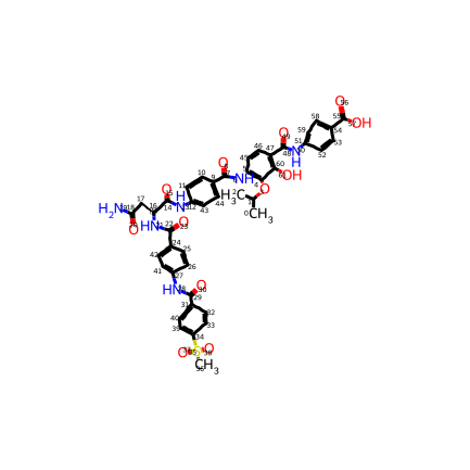 CC(C)Oc1c(NC(=O)c2ccc(NC(=O)[C@H](CC(N)=O)NC(=O)c3ccc(NC(=O)c4ccc(S(C)(=O)=O)cc4)cc3)cc2)ccc(C(=O)Nc2ccc(C(=O)O)cc2)c1O